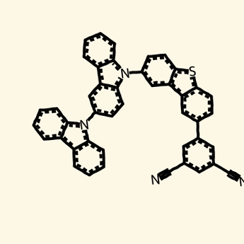 N#Cc1cc(C#N)cc(-c2ccc3sc4ccc(-n5c6ccccc6c6cc(-n7c8ccccc8c8ccccc87)ccc65)cc4c3c2)c1